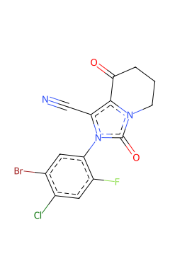 N#Cc1c2n(c(=O)n1-c1cc(Br)c(Cl)cc1F)CCCC2=O